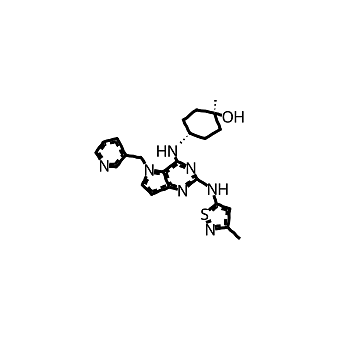 Cc1cc(Nc2nc(N[C@H]3CC[C@](C)(O)CC3)c3c(ccn3Cc3cccnc3)n2)sn1